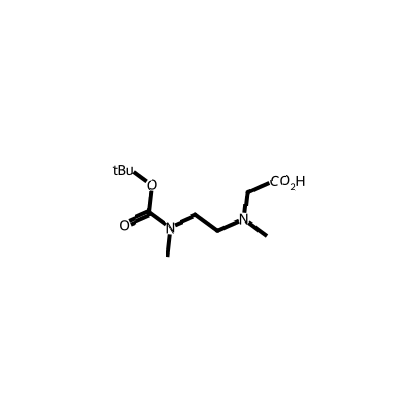 CN(CCN(C)C(=O)OC(C)(C)C)CC(=O)O